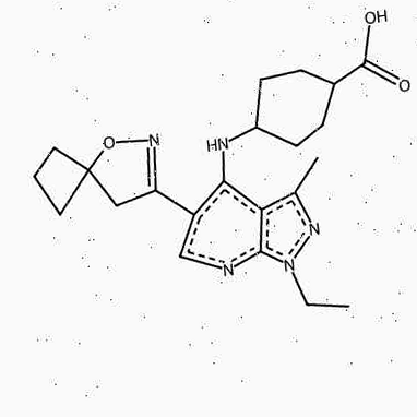 CCn1nc(C)c2c(NC3CCC(C(=O)O)CC3)c(C3=NOC4(CCC4)C3)cnc21